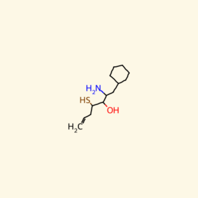 C=CCC(S)C(O)C(N)CC1CCCCC1